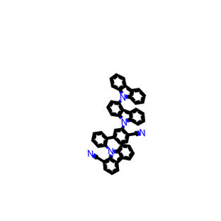 N#Cc1ccc(-c2ccccc2-n2c3ccccc3c3cccc(C#N)c32)cc1-n1c2ccccc2c2c(-n3c4ccccc4c4ccccc43)cccc21